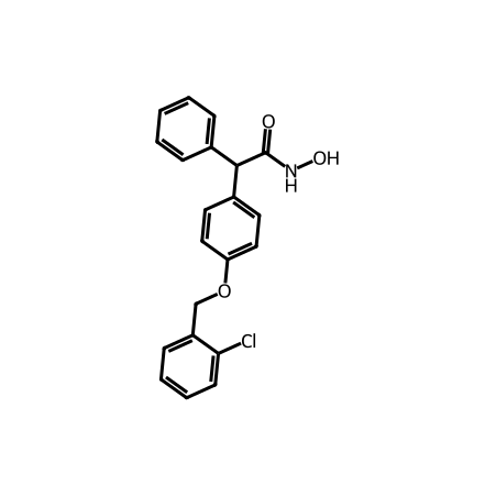 O=C(NO)C(c1ccccc1)c1ccc(OCc2ccccc2Cl)cc1